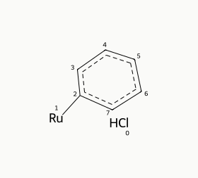 Cl.[Ru][c]1ccccc1